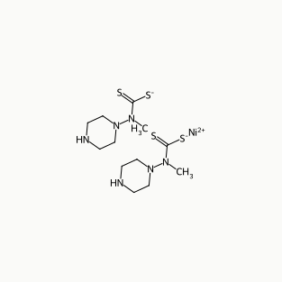 CN(C(=S)[S-])N1CCNCC1.CN(C(=S)[S-])N1CCNCC1.[Ni+2]